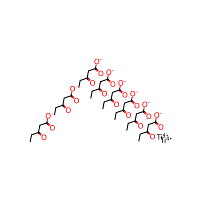 CCC(=O)CC(=O)[O-].CCC(=O)CC(=O)[O-].CCC(=O)CC(=O)[O-].CCC(=O)CC(=O)[O-].CCC(=O)CC(=O)[O-].CCC(=O)CC(=O)[O-].CCC(=O)CC(=O)[O-].CCC(=O)CC(=O)[O-].[Ti+4].[Ti+4]